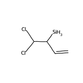 C=CC([SiH3])C(Cl)Cl